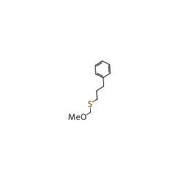 COCSCCCc1ccccc1